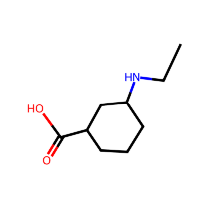 CCNC1CCCC(C(=O)O)C1